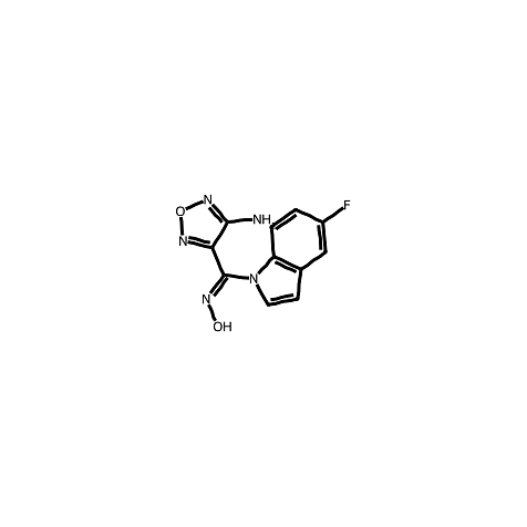 Nc1nonc1/C(=N/O)n1ccc2cc(F)ccc21